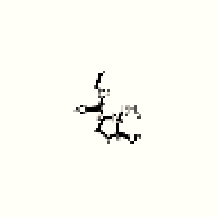 CCOC(=O)[C@@H]1CCC(=O)N1P